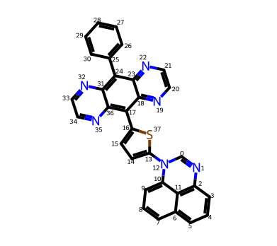 C1=Nc2cccc3cccc(c23)N1c1ccc(-c2c3nccnc3c(-c3ccccc3)c3nccnc23)s1